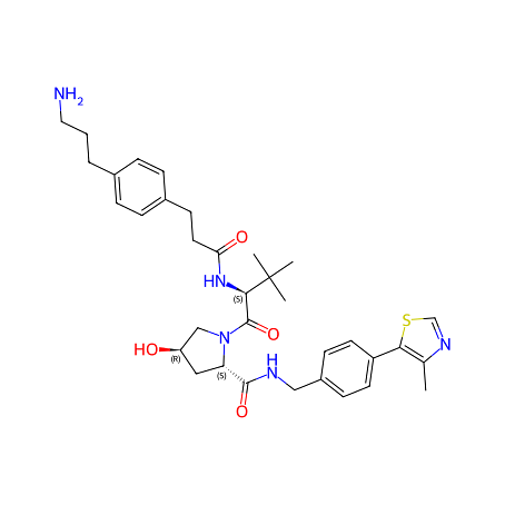 Cc1ncsc1-c1ccc(CNC(=O)[C@@H]2C[C@@H](O)CN2C(=O)[C@@H](NC(=O)CCc2ccc(CCCN)cc2)C(C)(C)C)cc1